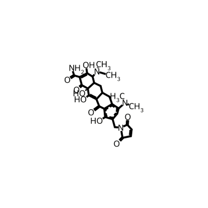 CN(C)c1cc(CN2C(=O)C=CC2=O)c(O)c2c1CC1CC3C(N(C)C)C(O)=C(C(N)=O)C(=O)[C@@]3(O)C(O)=C1C2=O